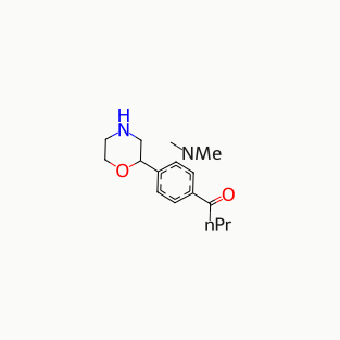 CCCC(=O)c1ccc(C2CNCCO2)cc1.CNC